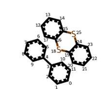 c1ccc(-c2ccccc2)cc1.c1ccc2c(c1)Sc1ccccc1S2